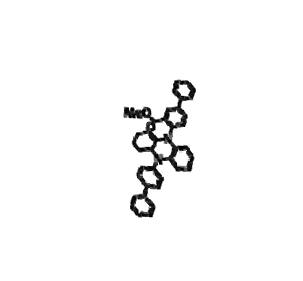 COC(=O)c1cc(-c2ccccc2)ccc1N1C2=CCCC=C2N(c2ccc(-c3ccccc3)cc2)c2ccccc21